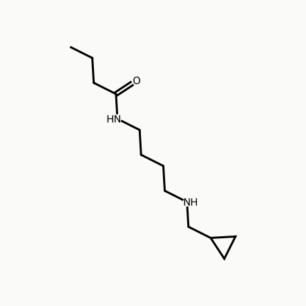 CCCC(=O)NCCCCNCC1CC1